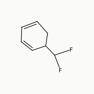 FC(F)C1C=CC=CC1